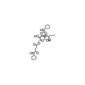 CCCC(=O)N[C@H]1C(O)O[C@H](COC(=O)CCC(=O)NC2CCCCC2)[C@@H](O)[C@@H]1OC(=O)NC1CCCCC1